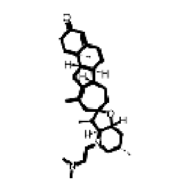 CC1=C2C[C@H]3[C@@H](CCC4=CC(=O)CC[C@@]43C)[C@@H]2CCC2(C1)O[C@@H]1C[C@H](C)CN(CCN(C)C)[C@H]1[C@H]2C